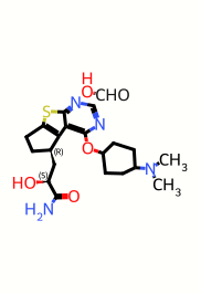 CN(C)C1CCC(Oc2ncnc3sc4c(c23)[C@@H](C[C@H](O)C(N)=O)CC4)CC1.O=CO